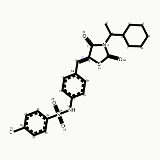 CC(C1CCCCC1)N1C(=O)S/C(=C\c2ccc(NS(=O)(=O)c3ccc(Cl)cc3)cc2)C1=O